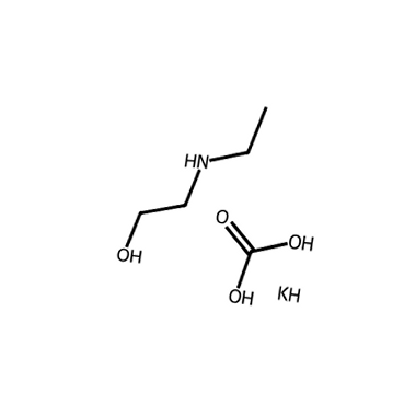 CCNCCO.O=C(O)O.[KH]